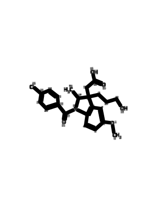 COc1ccc2c(c1)C(CCCO)(CC(=O)O)C(C)N2C(=O)c1ccc(Cl)cc1